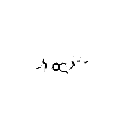 CC(=O)Nc1ncc(CN2CCc3ccc(Oc4cc(C)nc(C)n4)cc3CC2C)s1